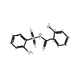 Cc1ccccc1S(=O)(=O)NC(=O)c1ccccc1Cl